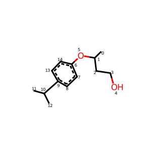 CC(CCO)Oc1ccc(C(C)C)cc1